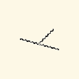 CCCCCCCCCCC[Si](CCCCCCCCCCC)CCCCCCCCCCC